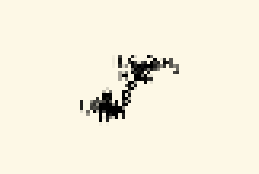 C=C1C[C@@H](c2ncc(-c3ccc(-c4ccc5cc(-c6cnc([C@@H]7CCCN7C(=O)[C@@H](NC(=O)OC)C7CCOCC7)[nH]6)ccc5c4)cc3)[nH]2)N(C(=O)CNC(=O)OC)C1